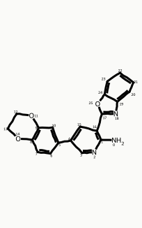 Nc1ncc(-c2ccc3c(c2)OCCO3)cc1-c1nc2ccccc2o1